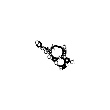 CO[C@H]1/C=C/C[C@H](C)C[S@@](=O)(NC(=O)COC2CCOCC2)=NC(=O)C2=CC=C3OCC[C@@H]4C#C[C@@H]4c4cc(Cl)ccc4CN(C[C@@H]4CC[C@H]41)C3C2